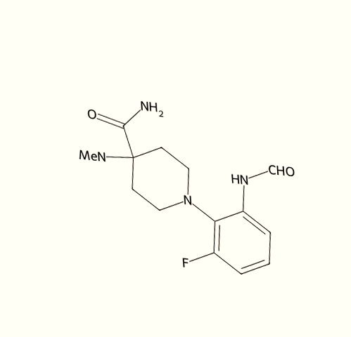 CNC1(C(N)=O)CCN(c2c(F)cccc2NC=O)CC1